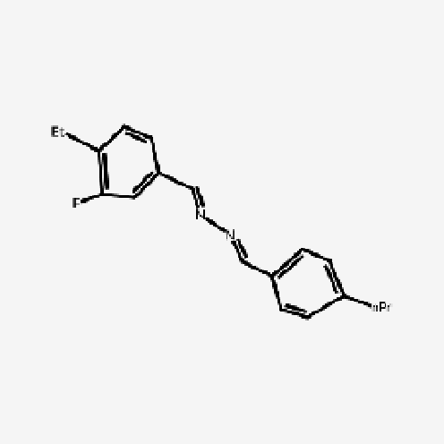 CCCc1ccc(C=NN=Cc2ccc(CC)c(F)c2)cc1